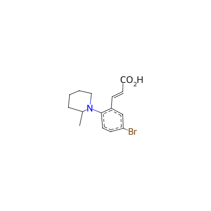 CC1CCCCN1c1ccc(Br)cc1C=CC(=O)O